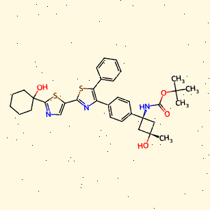 CC(C)(C)OC(=O)N[C@]1(c2ccc(-c3nc(-c4cnc(C5(O)CCCCC5)s4)sc3-c3ccccc3)cc2)C[C@@](C)(O)C1